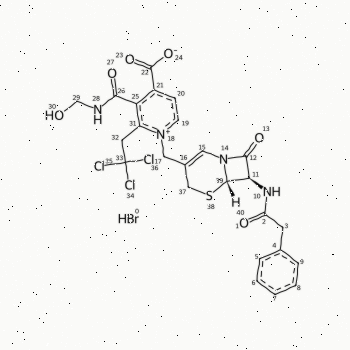 Br.O=C(Cc1ccccc1)N[C@@H]1C(=O)N2C=C(C[n+]3ccc(C(=O)[O-])c(C(=O)NCO)c3CC(Cl)(Cl)Cl)CS[C@@H]12